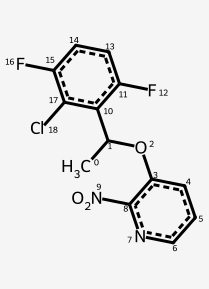 CC(Oc1cccnc1[N+](=O)[O-])c1c(F)ccc(F)c1Cl